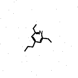 CCCc1cc(CC)nc(CC)c1